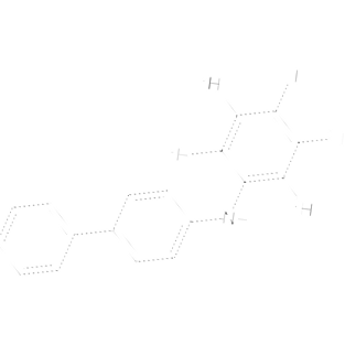 [2H]c1c([2H])c([2H])c(Nc2ccc(-c3ccccc3)cc2)c([2H])c1[2H]